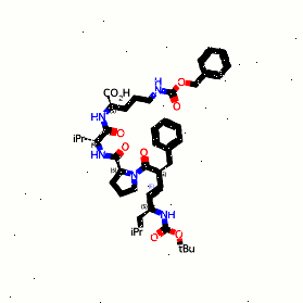 CC(C)C[C@@H](/C=C/[C@H](Cc1ccccc1)C(=O)N1CCC[C@H]1C(=O)N[C@@H](C(=O)N[C@@H](CCCNC(=O)OCc1ccccc1)C(=O)O)C(C)C)NC(=O)OC(C)(C)C